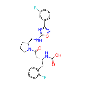 O=C(O)N[C@@H](CC(=O)N1CCC[C@H]1CNc1nc(-c2cccc(F)c2)no1)Cc1ccccc1F